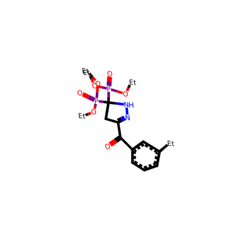 CCOP(=O)(OCC)C1(P(=O)(OCC)OCC)CC(C(=O)c2cccc(CC)c2)=NN1